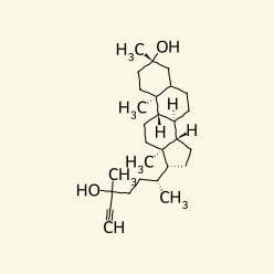 C#CC(C)(O)CC[C@@H](C)[C@H]1CC[C@H]2[C@@H]3CCC4C[C@@](C)(O)CC[C@]4(C)[C@H]3CC[C@]12C